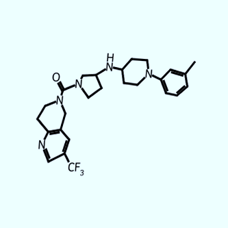 Cc1cccc(N2CCC(NC3CCN(C(=O)N4CCc5ncc(C(F)(F)F)cc5C4)C3)CC2)c1